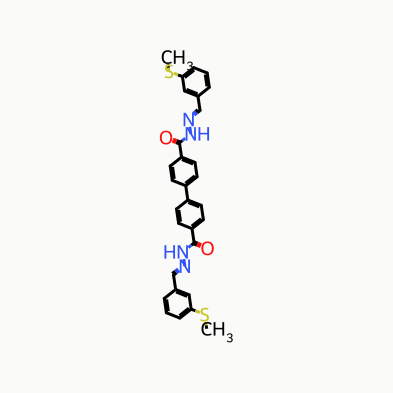 CSc1cccc(/C=N/NC(=O)c2ccc(-c3ccc(C(=O)N/N=C/c4cccc(SC)c4)cc3)cc2)c1